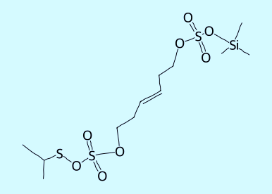 CC(C)SOS(=O)(=O)OCC/C=C/CCOS(=O)(=O)O[Si](C)(C)C